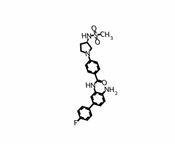 CS(=O)(=O)N[C@@H]1CCN(c2ccc(C(=O)Nc3cc(-c4ccc(F)cc4)ccc3N)cc2)C1